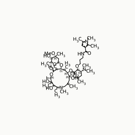 CO[C@]1(C)C[C@H](O[C@H]2[C@H](C)[C@@H](O[C@@H]3O[C@H](C)C[C@H](N(C)C)[C@H]3OCCCNC(=O)c3cc(C)n(C)c3C)[C@](C)(O)C[C@@H](C)CN(C)[C@H](C)[C@@H](O)[C@](C)(O)[C@@H](I)OC(=O)[C@@H]2C)O[C@@H](C)[C@@H]1O